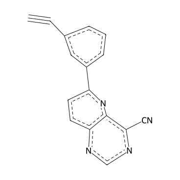 C#Cc1cccc(-c2ccc3ncnc(C#N)c3n2)c1